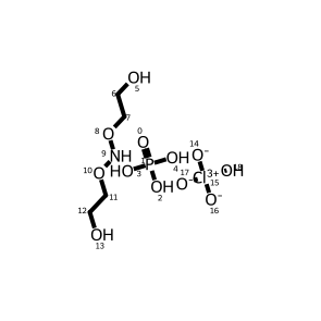 O=P(O)(O)O.OCCONOCCO.[O-][Cl+3]([O-])([O-])O